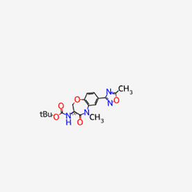 Cc1nc(-c2ccc3c(c2)N(C)C(=O)[C@@H](NC(=O)OC(C)(C)C)CO3)no1